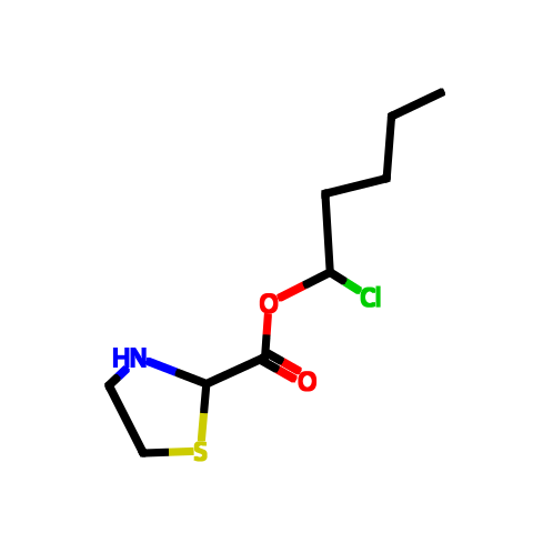 CCCCC(Cl)OC(=O)C1NCCS1